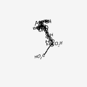 CC(=O)c1nn(CC(=O)N2C[C@@H](CNC(=O)COCCOCCNC(=O)COCCOCCNC(=O)CC[C@H](NC(=O)CCCCCCCCCCCCCCCCC(=O)O)C(=O)O)C[C@H]2C(=O)Nc2nc(Br)ccc2C)c2cc(OCP(=O)(O)O)ccc12